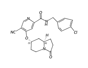 N#Cc1cnc(C(=O)NCc2ccc(Cl)cc2)cc1O[C@H]1CCN2C(=O)CC[C@@H]2C1